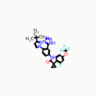 CC(C)(C)c1ccn(-c2ccc(NC(=O)C3(c4ccc(OC(F)(F)F)cc4F)CC3)cc2-c2nnn[nH]2)n1